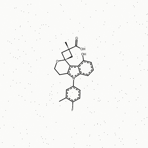 Cc1cc(-n2c3c(c4c(O)cccc42)[C@]2(C[C@@](C)(C(=O)O)C2)OCC3)ccc1F